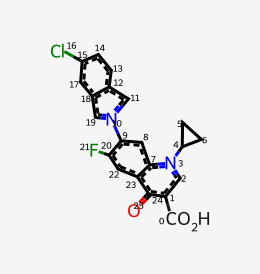 O=C(O)c1cn(C2CC2)c2cc(-n3cc4ccc(Cl)cc4c3)c(F)cc2c1=O